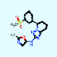 Cc1ncc(Nc2nc3cccc(-c4cccc(S(C)(=O)=O)c4)n3n2)o1